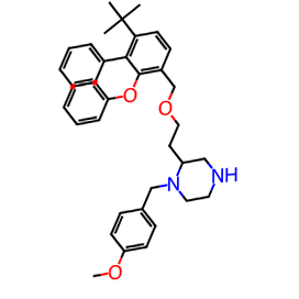 COc1ccc(CN2CCNCC2CCOCc2ccc(C(C)(C)C)c(-c3ccccc3)c2Oc2ccccc2)cc1